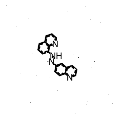 c1cnc2ccc([N]Nc3cccc4cccnc34)cc2c1